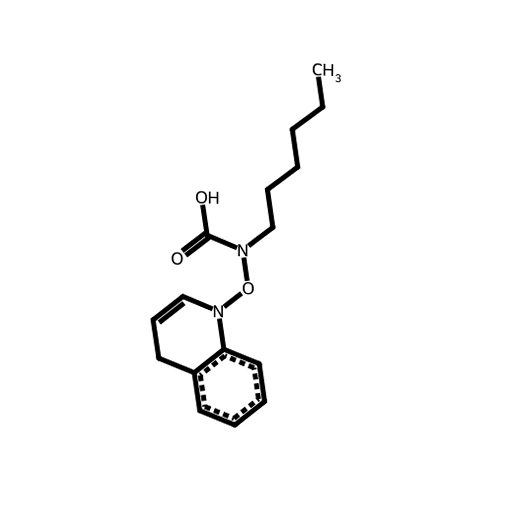 CCCCCCN(ON1C=CCc2ccccc21)C(=O)O